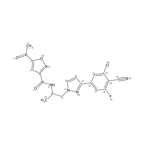 CC(=O)c1cc(C(=O)NC(C)Cn2ccc(-c3cc(F)c(C#N)c(Cl)c3)n2)no1